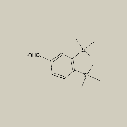 C[Si](C)(C)c1ccc([C]=O)cc1[Si](C)(C)C